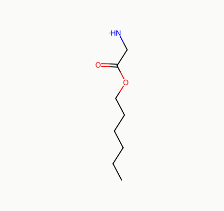 CCCCCCOC(=O)C[NH]